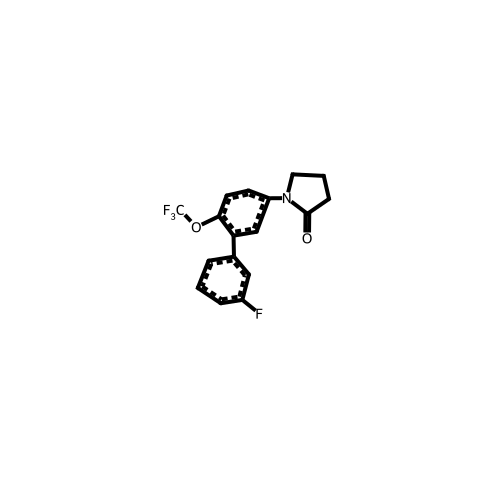 O=C1CCCN1c1ccc(OC(F)(F)F)c(-c2cccc(F)c2)c1